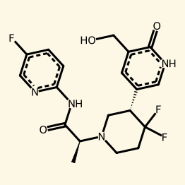 C[C@@H](C(=O)Nc1ccc(F)cn1)N1CCC(F)(F)[C@@H](c2c[nH]c(=O)c(CO)c2)C1